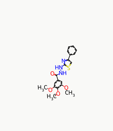 COc1cc(C(=O)NNc2nc(-c3ccccc3)cs2)cc(OC)c1OC